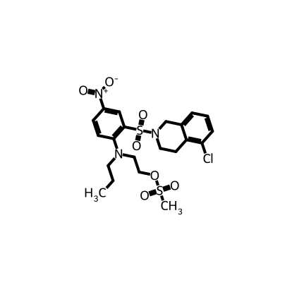 CCCN(CCOS(C)(=O)=O)c1ccc([N+](=O)[O-])cc1S(=O)(=O)N1CCc2c(Cl)cccc2C1